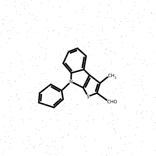 Cc1c(C=O)sc2c1c1ccccc1n2-c1ccccc1